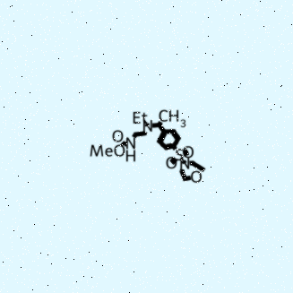 CCN(CCNC(=O)OC)C(C)c1ccc(S(=O)(=O)N2CCOCC2)cc1